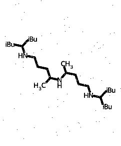 CCC(C)C(NCCCC(C)NC(C)CCCNC(C(C)CC)C(C)CC)C(C)CC